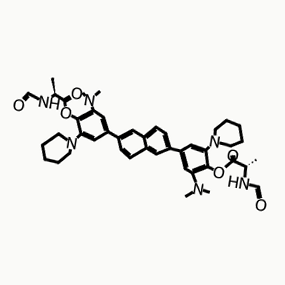 C[C@H](NC=O)C(=O)Oc1c(N(C)C)cc(-c2ccc3cc(-c4cc(N(C)C)c(OC(=O)[C@H](C)NC=O)c(N5CCCCC5)c4)ccc3c2)cc1N1CCCCC1